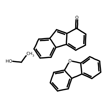 CCO.O=C1C=CC=C2C1=Cc1ccccc12.c1ccc2c(c1)oc1ccccc12